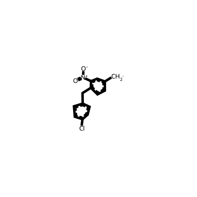 [CH2]c1ccc(Cc2ccc(Cl)cc2)c([N+](=O)[O-])c1